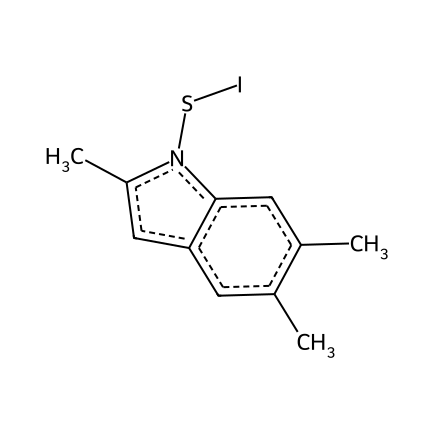 Cc1cc2cc(C)n(SI)c2cc1C